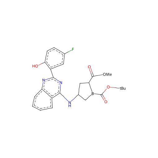 COC(=O)C1CC(Nc2nc(-c3cc(F)ccc3O)nc3ccccc23)CB1C(=O)OC(C)(C)C